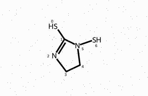 SC1=NCCN1S